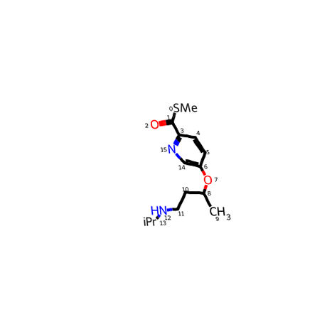 CSC(=O)c1ccc(OC(C)CCNC(C)C)cn1